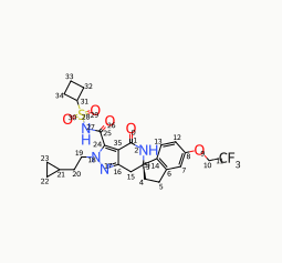 O=C1N[C@@]2(CCc3cc(OCC(F)(F)F)ccc32)Cc2nn(CCC3CC3)c(C(=O)NS(=O)(=O)C3CCC3)c21